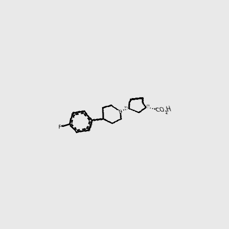 O=C(O)[C@H]1CC[C@@H](N2CCC(c3ccc(F)cc3)CC2)C1